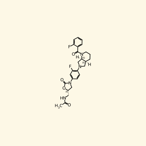 CC(=O)NC[C@H]1CN(c2ccc(N3C[C@@H]4CCCN(C(=O)c5ccccc5F)[C@@H]4C3)c(F)c2)C(=O)O1